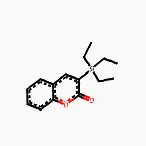 CC[Si](CC)(CC)c1cc2ccccc2oc1=O